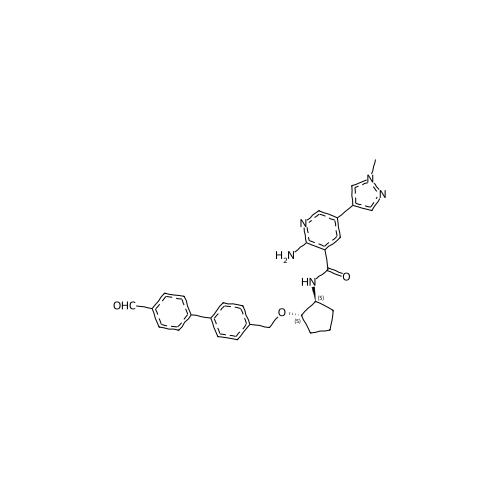 Cn1cc(-c2cnc(N)c(C(=O)N[C@H]3CCC[C@@H]3OCc3ccc(-c4ccc(C=O)cc4)cc3)c2)cn1